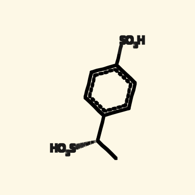 C[C@@H](c1ccc(S(=O)(=O)O)cc1)S(=O)(=O)O